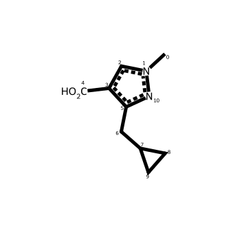 Cn1cc(C(=O)O)c(CC2CC2)n1